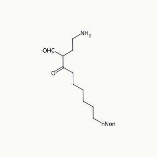 CCCCCCCCCCCCCCCC(=O)C([C]=O)CCN